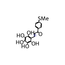 CSc1ccc(C(=O)/C=C/c2c(O)c(O)c(O)c(O)c2O)cc1